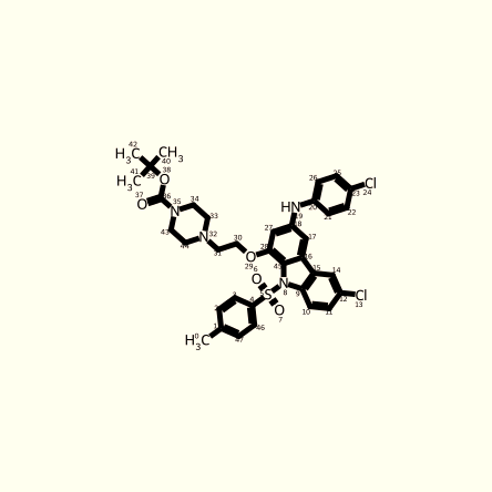 Cc1ccc(S(=O)(=O)n2c3ccc(Cl)cc3c3cc(Nc4ccc(Cl)cc4)cc(OCCN4CCN(C(=O)OC(C)(C)C)CC4)c32)cc1